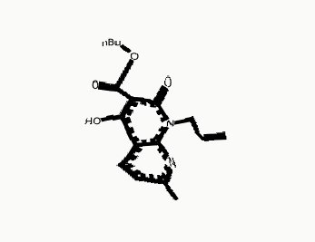 C=CCn1c(=O)c(C(=O)OCCCC)c(O)c2ccc(C)nc21